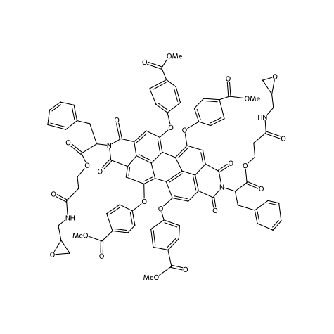 COC(=O)c1ccc(Oc2cc3c4c(cc(Oc5ccc(C(=O)OC)cc5)c5c6c(Oc7ccc(C(=O)OC)cc7)cc7c8c(cc(Oc9ccc(C(=O)OC)cc9)c(c2c45)c86)C(=O)N(C(Cc2ccccc2)C(=O)OCCC(=O)NCC2CO2)C7=O)C(=O)N(C(Cc2ccccc2)C(=O)OCCC(=O)NCC2CO2)C3=O)cc1